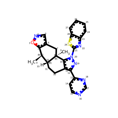 C[C@H]1c2oncc2C[C@@]2(C)c3c(c(-c4ccncn4)nn3-c3nc4ccccc4s3)CC[C@H]12